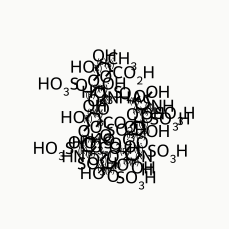 CC(=O)N[C@H]1[C@@H](O[C@H]2[C@H](O)[C@@H](O)C(O[C@H]3[C@H](OS(=O)(=O)O)[C@@H](NS(=O)(=O)O)[C@@H](O[C@H]4[C@H](O)[C@@H](OS(=O)(=O)O)[C@H](O[C@H]5[C@H](O)[C@@H](NS(=O)(=O)O)[C@@H](O[C@H]6[C@H](O)[C@@H](OS(=O)(=O)O)C(O[C@H]7[C@H](O)[C@@H](NS(=O)(=O)O)C(O)O[C@@H]7COS(=O)(=O)O)O[C@H]6C(=O)O)O[C@@H]5COS(=O)(=O)O)O[C@H]4C(=O)O)O[C@@H]3COS(=O)(=O)O)O[C@@H]2C(=O)O)O[C@H](COS(=O)(=O)O)[C@@H](OC2OC(C(=O)O)[C@@H](C)[C@H](O)[C@H]2O)[C@@H]1O